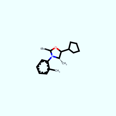 Cc1ccccc1N1C(C(C)(C)C)OC(C2CCCC2)[C@@H]1C